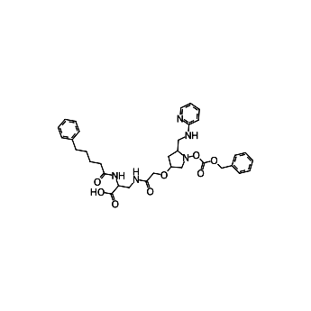 O=C(COC1CC(CNc2ccccn2)N(OC(=O)OCc2ccccc2)C1)NCC(NC(=O)CCCCc1ccccc1)C(=O)O